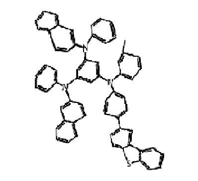 Cc1cccc(N(c2ccc(-c3ccc4sc5ccccc5c4c3)cc2)c2cc(N(c3ccccc3)c3ccc4ccccc4c3)cc(N(c3ccccc3)c3ccc4ccccc4c3)c2)c1